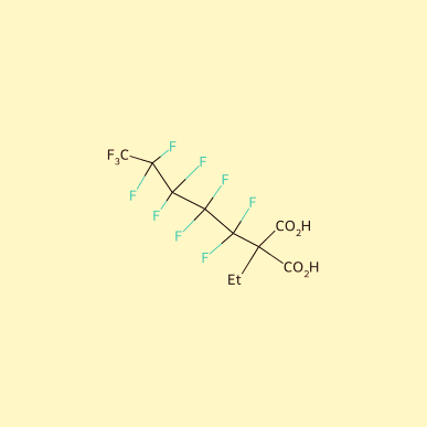 CCC(C(=O)O)(C(=O)O)C(F)(F)C(F)(F)C(F)(F)C(F)(F)C(F)(F)F